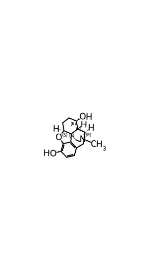 CN1CC[C@]23c4c5ccc(O)c4O[C@H]2CC[C@@H](O)[C@H]3[C@H]1C5